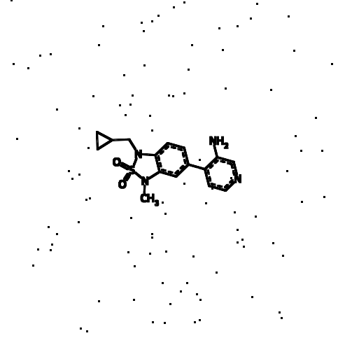 CN1c2cc(-c3ccncc3N)ccc2N(CC2CC2)S1(=O)=O